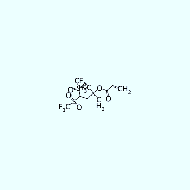 C=CC(=O)OC(C)(C)CC(S(=O)(=O)C(F)(F)F)S(=O)(=O)C(F)(F)F